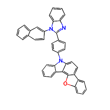 c1ccc2cc(-n3c(-c4ccc(-n5c6ccccc6c6c7oc8ccccc8c7ccc65)cc4)nc4ccccc43)ccc2c1